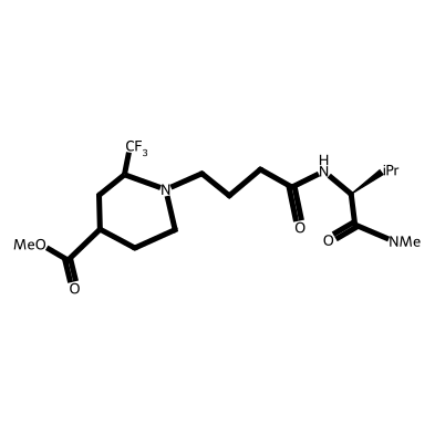 CNC(=O)[C@@H](NC(=O)CCCN1CCC(C(=O)OC)CC1C(F)(F)F)C(C)C